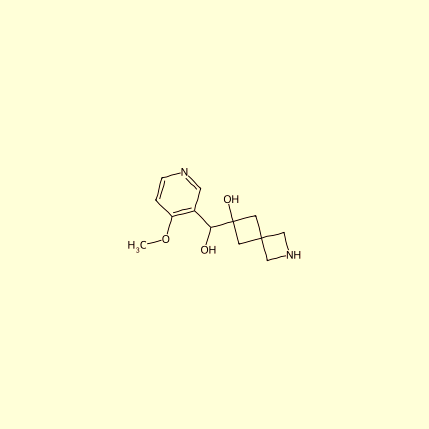 COc1ccncc1C(O)C1(O)CC2(CNC2)C1